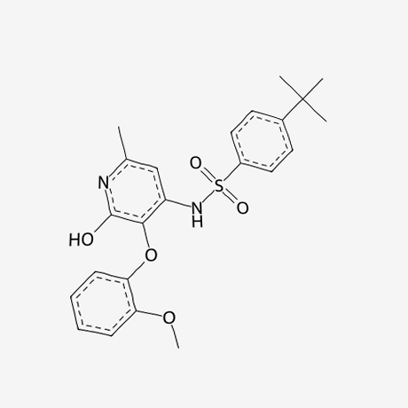 COc1ccccc1Oc1c(NS(=O)(=O)c2ccc(C(C)(C)C)cc2)cc(C)nc1O